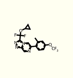 Cc1cc(OC(F)(F)F)ccc1-c1cn2c(C(F)(F)OC3CC3)nnc2cn1